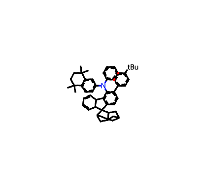 CC(C)(C)c1ccc(-c2ccc3c(c2N(c2ccccc2)c2ccc4c(c2)C(C)(C)CCC4(C)C)C2C=CC=CC2C32C3CC4CC(C3)C2C4)cc1